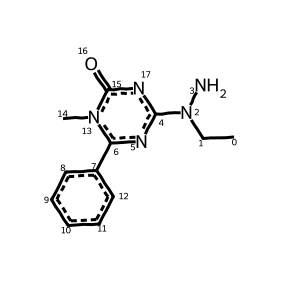 CCN(N)c1nc(-c2ccccc2)n(C)c(=O)n1